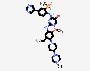 CCc1cc(Nc2ncc(Br)c(Nc3ccc(-c4cncnc4)cc3P(C)(C)=O)n2)c(OC)cc1N1CCC(N2CCN(C)CC2)CC1